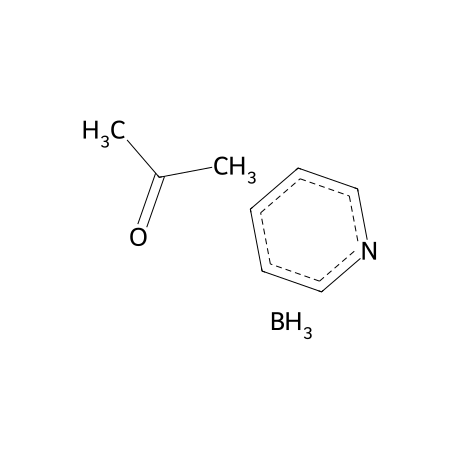 B.CC(C)=O.c1ccncc1